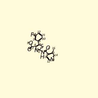 COC(=O)c1nc(NC(=O)c2ccncc2C)sc1-c1cccc(F)c1